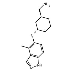 Cc1c(O[C@H]2CCC[C@H](CN)C2)ccc2[nH]ncc12